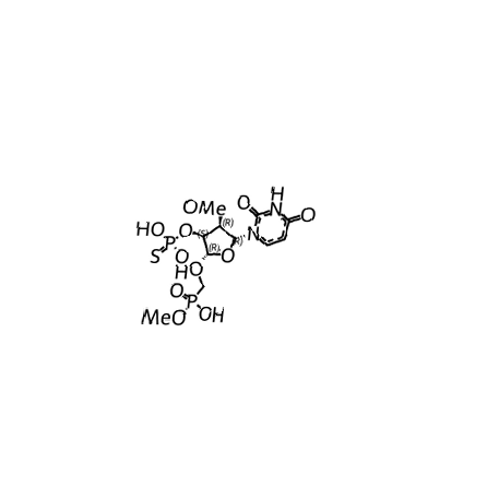 CO[C@@H]1[C@H](OP(O)(O)=S)[C@@H](OCP(=O)(O)OC)O[C@H]1n1ccc(=O)[nH]c1=O